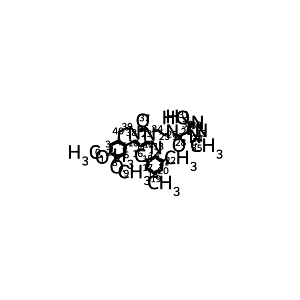 COc1cc2c(cc1OC)-c1cc(=Nc3c(C)cc(C)cc3C)n(CCNC(=O)c3c(O)nnn3C)c(=O)n1CC2